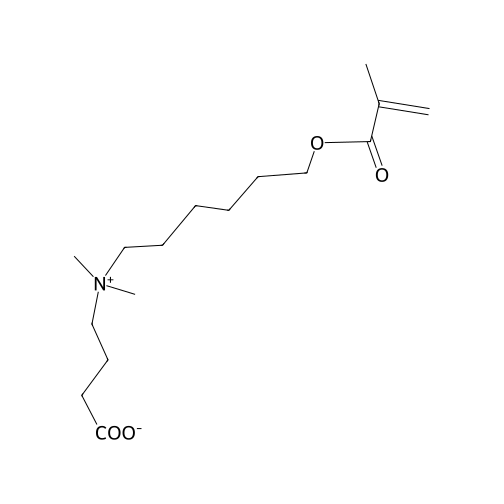 C=C(C)C(=O)OCCCCCC[N+](C)(C)CCCC(=O)[O-]